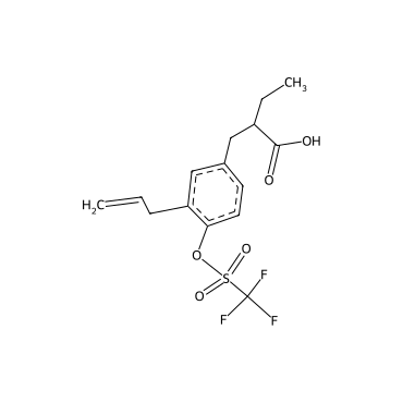 C=CCc1cc(CC(CC)C(=O)O)ccc1OS(=O)(=O)C(F)(F)F